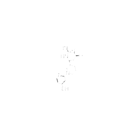 Bc1ccnc(N2CCCC([C@]3(C)CC(=O)N(C)C(=N)N3)C2)c1